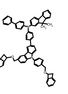 CC1(C)c2ccccc2-c2ccc(N(c3ccc(-c4ccccc4)cc3)c3ccc(-c4ccc5c(c4)c4cc(COC6Cc7ccccc76)ccc4n5-c4ccc(COC5Cc6ccccc65)cc4)cc3)cc21